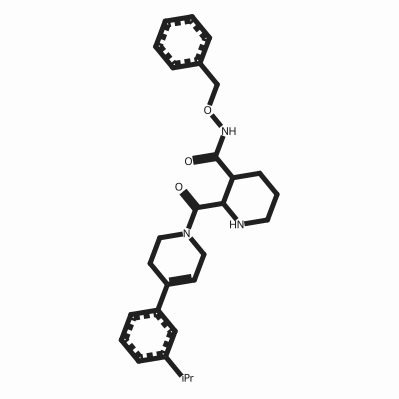 CC(C)c1cccc(C2=CCN(C(=O)C3NCCCC3C(=O)NOCc3ccccc3)CC2)c1